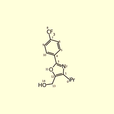 CC(C)c1nc(-c2ccc(C(F)(F)F)cc2)oc1CO